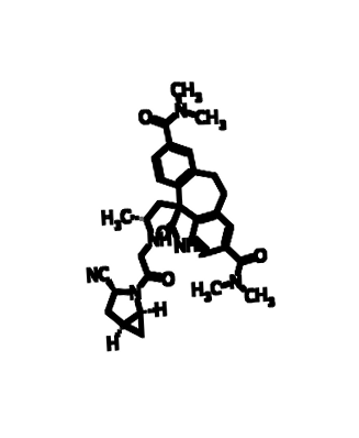 C[C@H](CC1(C(N)=O)c2ccc(C(=O)N(C)C)cc2CCc2cc(C(=O)N(C)C)ccc21)NCC(=O)N1[C@H](C#N)C[C@@H]2C[C@@H]21